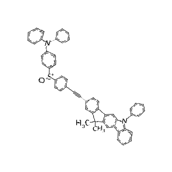 CC1(C)c2cc(C#Cc3ccc([S+]([O-])c4ccc(N(c5ccccc5)c5ccccc5)cc4)cc3)ccc2-c2cc3c(cc21)c1ccccc1n3-c1ccccc1